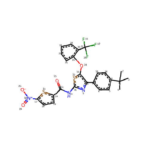 CC(C)(C)c1ccc(-c2nc(NC(=O)c3ccc([N+](=O)[O-])s3)sc2Oc2ccccc2C(F)(F)F)cc1